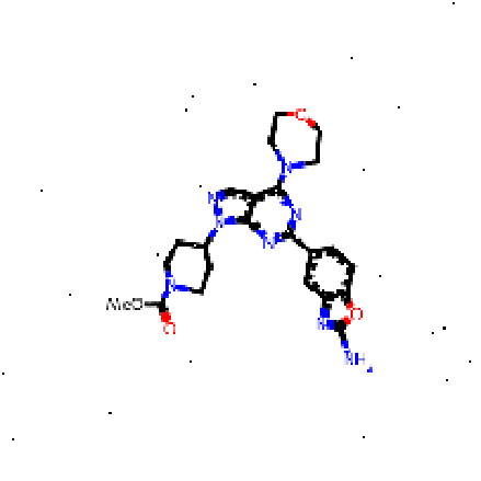 COC(=O)N1CCC(n2ncc3c(N4CCOCC4)nc(-c4ccc5oc(N)nc5c4)nc32)CC1